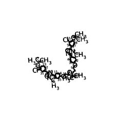 Cc1cc(OCCC(OC(=O)COc2ccc(-c3noc(-c4ccc(OC(C)C)c(Cl)c4)n3)c(C)c2)N(C)C)ccc1-c1noc(-c2ccc(OC(C)C)c(Cl)c2)n1